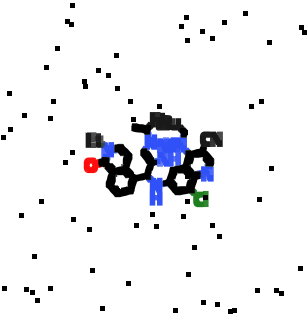 C=C(CC)N1C=C([C@@H](Nc2cc(Cl)c3ncc(C#N)c(NCC(C)(C)C)c3c2)c2cccc3c(=O)n(CC)ccc23)NN1